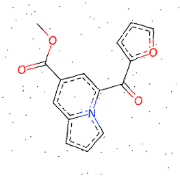 COC(=O)c1cc(C(=O)c2ccco2)n2cccc2c1